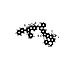 Cc1ccccc1C(Cc1ccc2c(c1)C(C)(C)c1cc3c(cc1-2)C(C)(C)c1ccc2c(c1-3)-c1ccccc1OCC2)Cc1ccc2c(c1)C(C)(C)c1cc(-c3ccc4ccccc4c3)c3oc4ccccc4c3c1-2